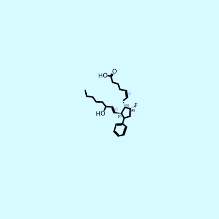 CCCCCC(O)/C=C/[C@@H]1C(c2ccccc2)C[C@@H](F)[C@H]1C/C=C\CCCC(=O)O